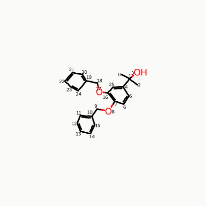 CC(C)(O)c1ccc(OCc2ccccc2)c(OCc2ccccc2)c1